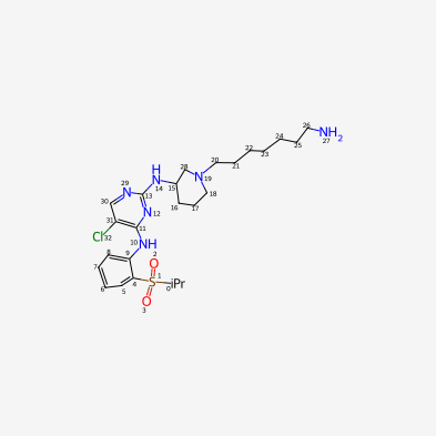 CC(C)S(=O)(=O)c1ccccc1Nc1nc(NC2CCCN(CCCCCCCN)C2)ncc1Cl